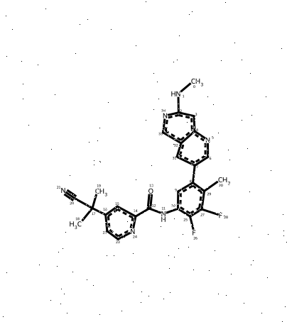 CNc1cc2ncc(-c3cc(NC(=O)c4cc(C(C)(C)C#N)ccn4)c(F)c(F)c3C)cc2cn1